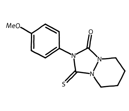 COc1ccc(-n2c(=O)n3n(c2=S)CCCC3)cc1